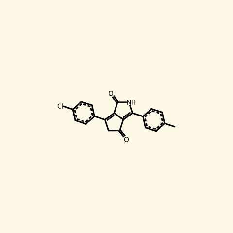 Cc1ccc(C2=C3C(=O)CC(c4ccc(Cl)cc4)=C3C(=O)N2)cc1